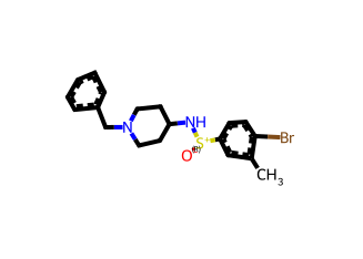 Cc1cc([S@+]([O-])NC2CCN(Cc3ccccc3)CC2)ccc1Br